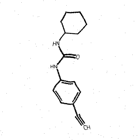 C#Cc1ccc(NC(=O)NC2CCCCC2)cc1